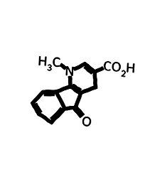 CN1C=C(C(=O)O)CC2=C1c1ccccc1C2=O